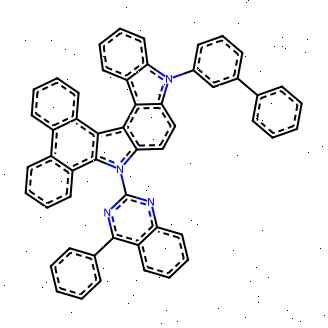 c1ccc(-c2cccc(-n3c4ccccc4c4c5c6c7ccccc7c7ccccc7c6n(-c6nc(-c7ccccc7)c7ccccc7n6)c5ccc43)c2)cc1